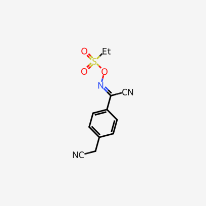 CCS(=O)(=O)ON=C(C#N)c1ccc(CC#N)cc1